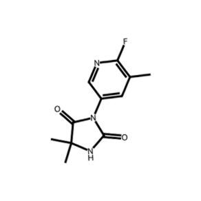 Cc1cc(N2C(=O)NC(C)(C)C2=O)cnc1F